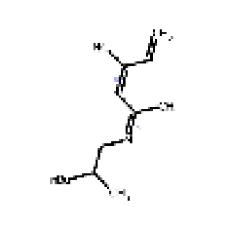 C=C/C(C#N)=C\C(C)=N/CC(C)CCCC